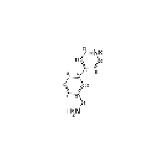 NCc1cccc(-c2ccncc2)c1